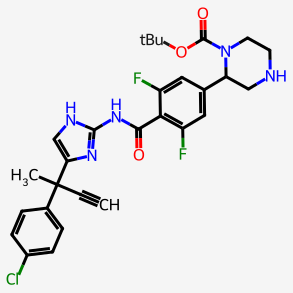 C#CC(C)(c1ccc(Cl)cc1)c1c[nH]c(NC(=O)c2c(F)cc(C3CNCCN3C(=O)OC(C)(C)C)cc2F)n1